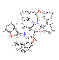 c1ccc(-c2oc3ccccc3c2N2c3cccc4c3B(c3oc5ccccc5c32)c2oc3ccccc3c2N4c2c(-c3ccccc3)oc3ccccc23)cc1